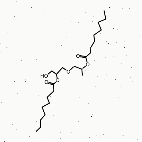 CCCCCCCCC(=O)OC(C)COCC(CO)OC(=O)CCCCCCCC